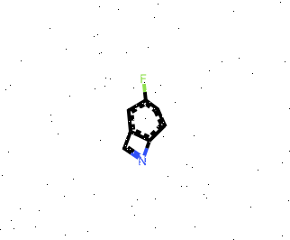 Fc1ccc2c(c1)C=N2